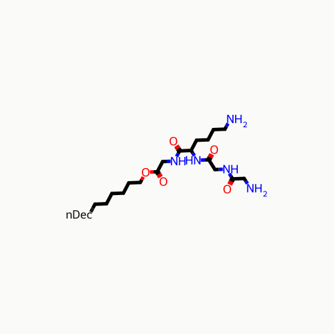 CCCCCCCCCCCCCCCCOC(=O)CNC(=O)C(CCCCN)NC(=O)CNC(=O)CN